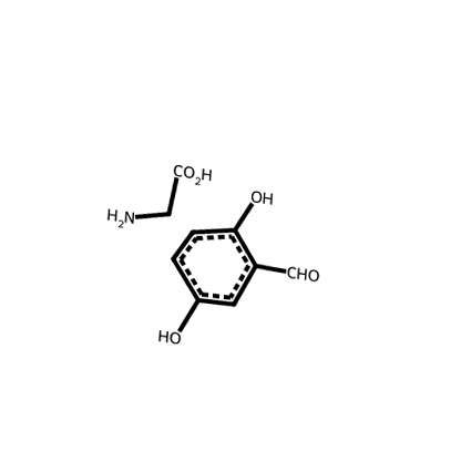 NCC(=O)O.O=Cc1cc(O)ccc1O